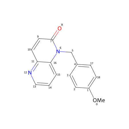 COc1ccc(Cn2c(=O)ccc3ncccc32)cc1